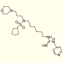 N=C(NCCCCCCN(CCCN1CCOCC1)S(=O)(=O)C1CCCC1)Nc1ccncc1